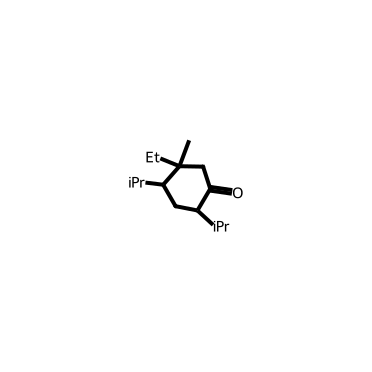 CCC1(C)CC(=O)C(C(C)C)CC1C(C)C